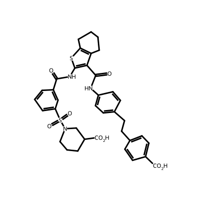 O=C(O)c1ccc(CCc2ccc(NC(=O)c3c(NC(=O)c4cccc(S(=O)(=O)N5CCCC(C(=O)O)C5)c4)sc4c3CCCC4)cc2)cc1